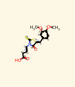 COc1ccc(/C=C2\SC(=S)N(/C=C/CC(=O)O)C2=O)cc1OC